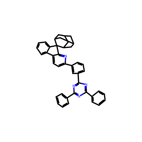 c1ccc(-c2nc(-c3ccccc3)nc(-c3cccc(-c4ccc5c(n4)C4(c6ccccc6-5)C5CC6CC(C5)CC4C6)c3)n2)cc1